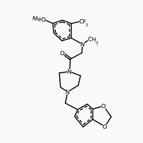 COc1ccc(N(C)CC(=O)N2CCN(Cc3ccc4c(c3)OCO4)CC2)c(C(F)(F)F)c1